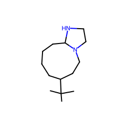 CC(C)(C)C1CCCCC2NCCN2CC1